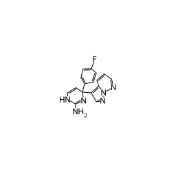 NC1=NC(c2ccc(F)cc2)(c2cnn3ncccc23)C=CN1